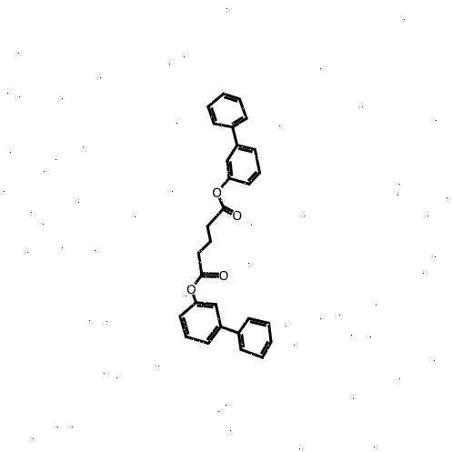 O=C(CCCC(=O)Oc1cccc(-c2ccccc2)c1)Oc1cccc(-c2ccccc2)c1